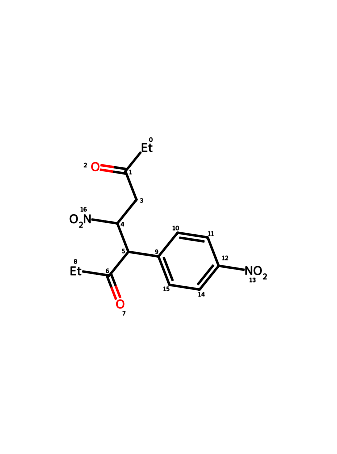 CCC(=O)CC(C(C(=O)CC)c1ccc([N+](=O)[O-])cc1)[N+](=O)[O-]